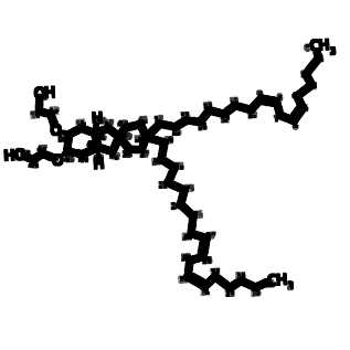 CCCCC/C=C\C/C=C\CCCCCCCCC1(CCCCCCCC/C=C\C/C=C\CCCCC)CCC2(CC1)C[C@H]1C[C@H](OCCO)[C@H](OCCO)C[C@@H]1C2